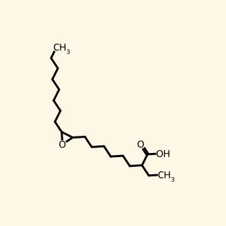 CCCCCCCCC1OC1CCCCCCC(CC)C(=O)O